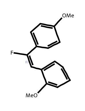 COc1ccc(/C(F)=C\c2ccccc2OC)cc1